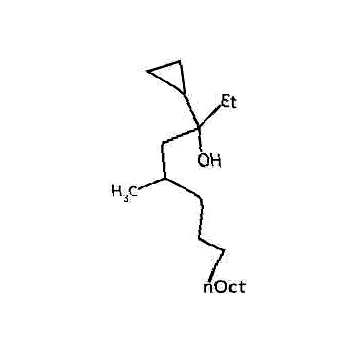 CCCCCCCCCCCC(C)CC(O)(CC)C1CC1